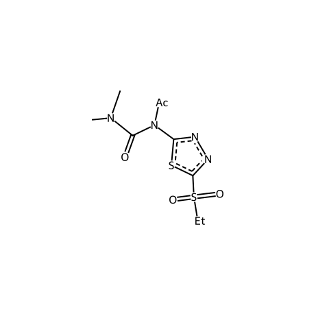 CCS(=O)(=O)c1nnc(N(C(C)=O)C(=O)N(C)C)s1